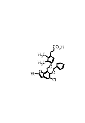 CCc1cc2cc(Cl)c(OCc3ccccc3)c(COc3ccc(CCC(=O)O)c(C)c3C)c2o1